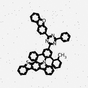 CC1C=CC=CC1c1cc(-c2nc(-c3ccccc3)nc(-c3ccc4c(c3)oc3ccccc34)n2)cc(-c2ccccc2)c1-n1c2ccccc2c2cc3c(cc21)sc1ccccc13